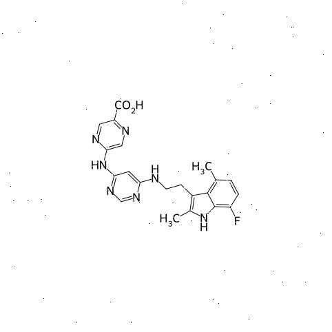 Cc1[nH]c2c(F)ccc(C)c2c1CCNc1cc(Nc2cnc(C(=O)O)cn2)ncn1